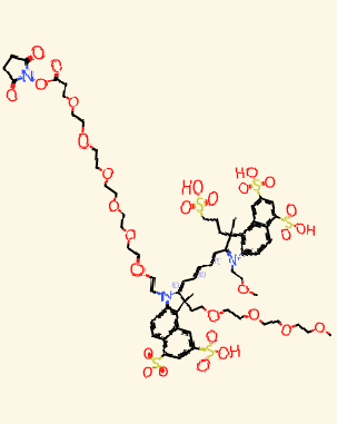 COCCOCCOCCOCCC1(C)\C(=C/C=C/C=C/C2=[N+](CCOC)c3ccc4c(S(=O)(=O)O)cc(S(=O)(=O)O)cc4c3C2(C)CCCS(=O)(=O)O)N(CCOCCOCCOCCOCCOCCOCCC(=O)ON2C(=O)CCC2=O)c2ccc3c(S(=O)(=O)[O-])cc(S(=O)(=O)O)cc3c21